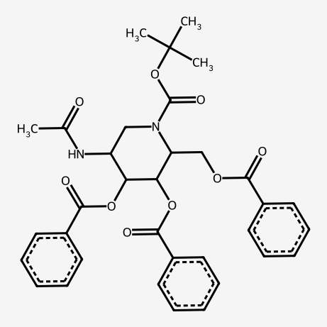 CC(=O)NC1CN(C(=O)OC(C)(C)C)C(COC(=O)c2ccccc2)C(OC(=O)c2ccccc2)C1OC(=O)c1ccccc1